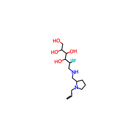 C=CCN1CCCC1CNCC([18F])C(O)C(O)C(O)CO